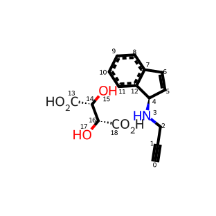 C#CCN[C@@H]1C=Cc2ccccc21.O=C(O)[C@H](O)[C@@H](O)C(=O)O